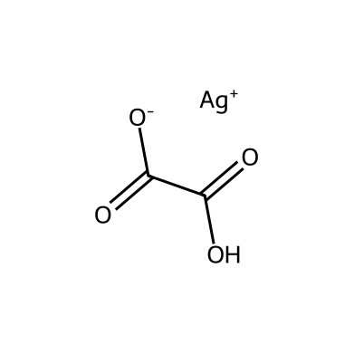 O=C([O-])C(=O)O.[Ag+]